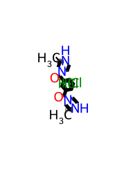 C[C@@H]1CN(C(=O)c2cccc(C(=O)N3CCN[C@H](C)C3)c2)CCN1.Cl.Cl